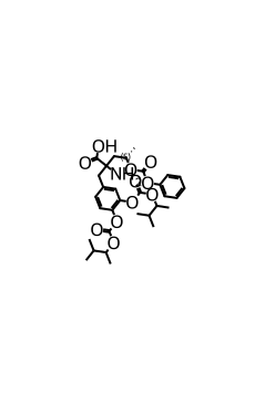 CC(C)C(C)OC(=O)Oc1ccc(CC(N)(C[C@H](C)OC(=O)Oc2ccccc2)C(=O)O)cc1OC(=O)OC(C)C(C)C